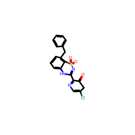 O=C1CC(Cl)=CN=C1C1=NS(=O)(=O)c2c(Cc3ccccc3)cccc2N1